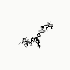 COC(=O)N[C@H](C(=O)N1CCC[C@H]1c1ncc(-c2ccc(/C(=C/c3ccc(-c4cnc([C@@H]5CCCN5C(=O)[C@@H](NC(=O)O)C(C)C)[nH]4)cc3)c3ccc(C(C)(C)C)cc3)cc2)[nH]1)C(C)C